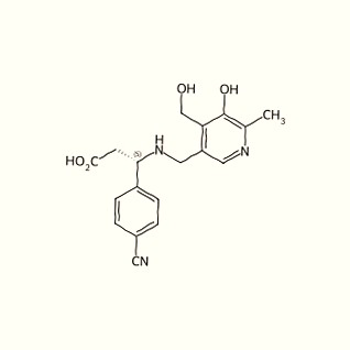 Cc1ncc(CN[C@@H](CC(=O)O)c2ccc(C#N)cc2)c(CO)c1O